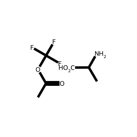 CC(=O)OC(F)(F)F.CC(N)C(=O)O